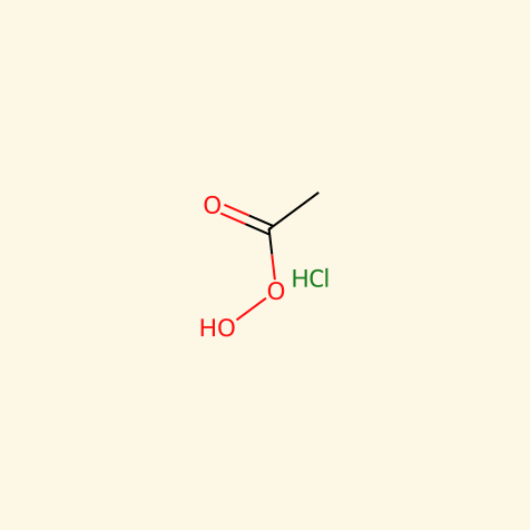 CC(=O)OO.Cl